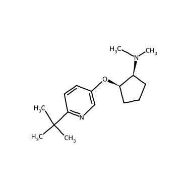 CN(C)[C@H]1CCC[C@H]1Oc1ccc(C(C)(C)C)nc1